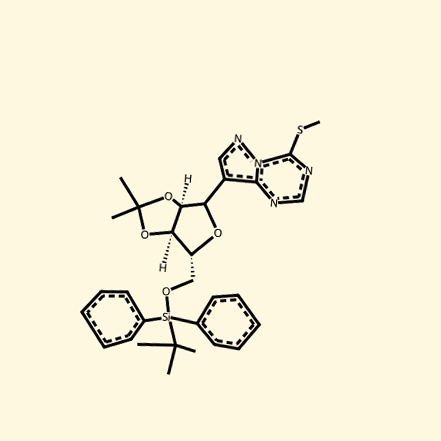 CSc1ncnc2c(C3O[C@H](CO[Si](c4ccccc4)(c4ccccc4)C(C)(C)C)[C@H]4OC(C)(C)O[C@@H]34)cnn12